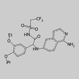 CCOc1cc(C(Nc2ccc3c(N)nccc3c2)C(=O)NS(=O)(=O)CC(F)(F)F)ccc1OC(C)C